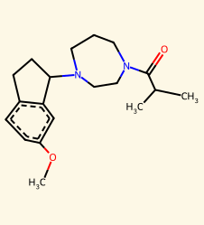 COc1ccc2c(c1)C(N1CCCN(C(=O)C(C)C)CC1)CC2